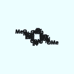 COc1cnc(C(C)(O)c2ccc(C[C@H]3OC(=O)[C@H](CC(C)C)N(C)C(=O)[C@@H](C)OC(=O)[C@H](CC(C)C)N(C)C(=O)[C@@H](Cc4ccc(C(C)(O)c5cnc(OC)cn5)cc4)OC(=O)[C@H](CC(C)C)N(C)C(=O)[C@@H](C)OC(=O)[C@H](CC(C)C)N(C)C3=O)cc2)cn1